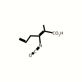 C=CCC(N=C=O)=C(C)C(=O)O